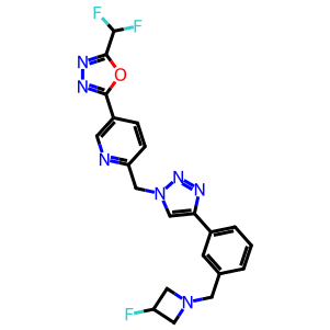 FC1CN(Cc2cccc(-c3cn(Cc4ccc(-c5nnc(C(F)F)o5)cn4)nn3)c2)C1